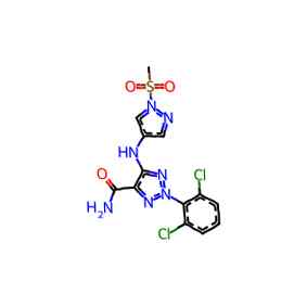 CS(=O)(=O)n1cc(Nc2nn(-c3c(Cl)cccc3Cl)nc2C(N)=O)cn1